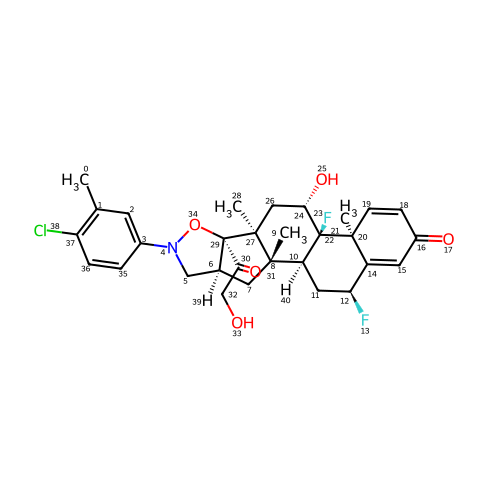 Cc1cc(N2C[C@@H]3C[C@@]4(C)[C@@H]5C[C@H](F)C6=CC(=O)C=C[C@]6(C)[C@@]5(F)[C@@H](O)C[C@]4(C)[C@]3(C(=O)CO)O2)ccc1Cl